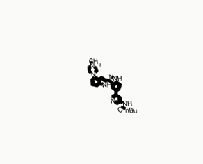 CCCCC(=O)Nc1cncc(-c2ccc3[nH]nc(-c4cc5c(N6CCN(C)CC6)cccc5[nH]4)c3c2)c1